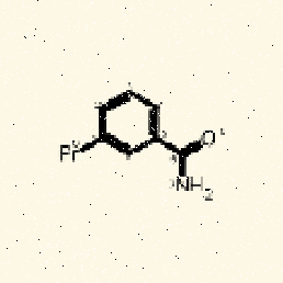 [CH2]C(C)c1cccc(C(N)=O)c1